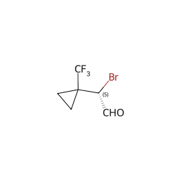 O=C[C@@H](Br)C1(C(F)(F)F)CC1